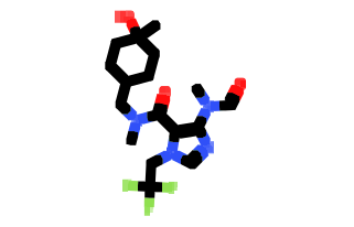 CN(CC1CCC(C)(O)CC1)C(=O)c1c(N(C)C=O)ncn1CC(F)(F)F